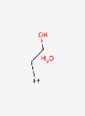 O.[CH2]CCCO